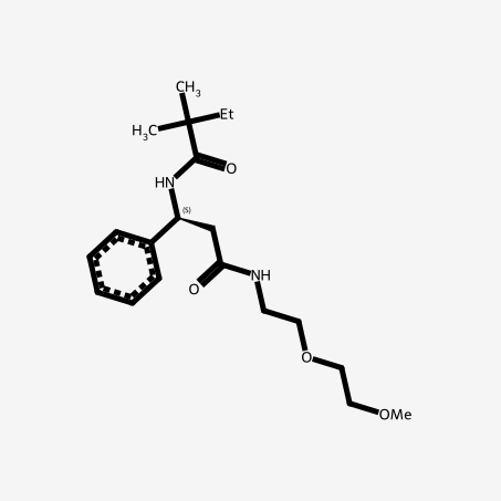 CCC(C)(C)C(=O)N[C@@H](CC(=O)NCCOCCOC)c1ccccc1